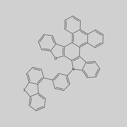 c1cc(-c2cccc3sc4ccccc4c23)cc(-n2c3ccccc3c3c4c5ccccc5c5ccccc5c4c4c5ccccc5oc4c32)c1